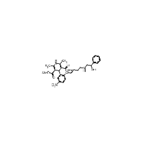 COC(=O)C1=C(C)NC(C)=C(C(=O)OC)C1c1cc([N+](=O)[O-])ccc1OCCCCNCC(O)c1ccccc1